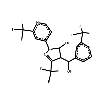 OC(c1ccnc(C(F)(F)F)c1)C1C(C(F)(F)F)=NN(c2ccnc(C(F)(F)F)c2)C1O